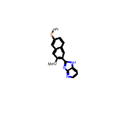 CCCSc1ccc2cc(-c3nc4ncccc4[nH]3)c(OC)cc2c1